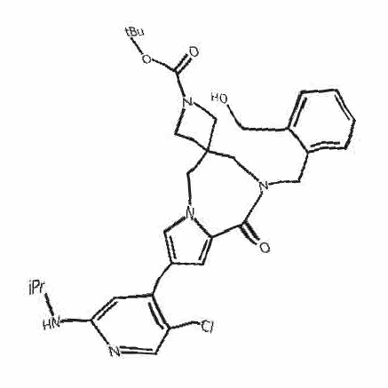 CC(C)Nc1cc(-c2cc3n(c2)CC2(CN(C(=O)OC(C)(C)C)C2)CN(Cc2ccccc2CO)C3=O)c(Cl)cn1